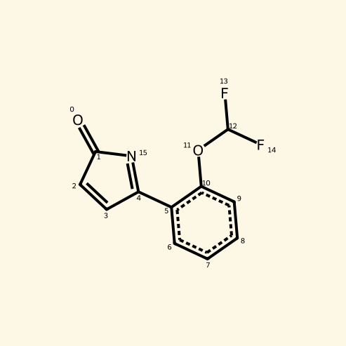 O=C1C=CC(c2ccccc2OC(F)F)=N1